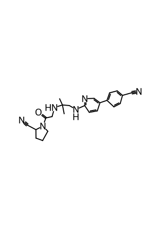 CC(C)(CNc1ccc(-c2ccc(C#N)cc2)cn1)NCC(=O)N1CCCC1C#N